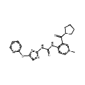 Cc1ccc(NC(=O)Nc2ncc(Sc3ccccn3)s2)c(C(=O)C2CCCC2)c1